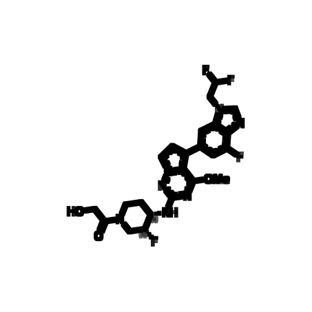 COc1nc(N[C@H]2CCN(C(=O)CO)C[C@H]2F)nn2ccc(-c3cc(F)c4ncn(CC(F)F)c4c3)c12